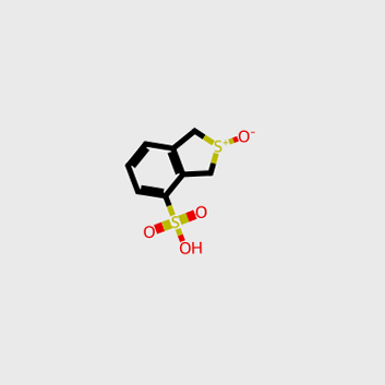 O=S(=O)(O)c1cccc2c1C[S+]([O-])C2